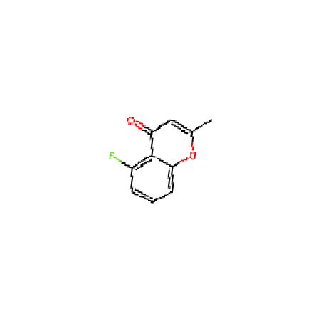 Cc1cc(=O)c2c(F)cccc2o1